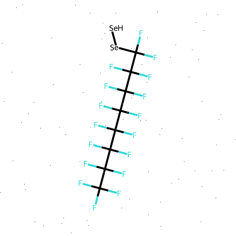 FC(F)(F)C(F)(F)C(F)(F)C(F)(F)C(F)(F)C(F)(F)C(F)(F)C(F)(F)[Se][SeH]